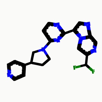 FC(F)c1cn2c(-c3nccc(N4CCC(c5ccncc5)C4)n3)cnc2cn1